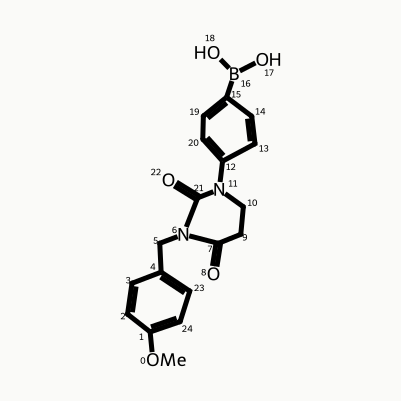 COc1ccc(CN2C(=O)CCN(c3ccc(B(O)O)cc3)C2=O)cc1